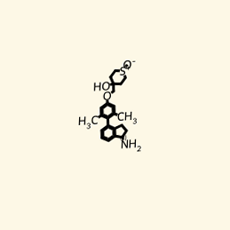 Cc1cc(OCC2(O)CC[S+]([O-])CC2)cc(C)c1-c1cccc2c1CC[C@H]2N